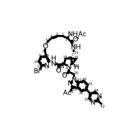 CC(=O)NC1CC=CCOCc2ccc(Br)nc2NC(=O)[C@@H]2C[C@@]3(CNC1=O)C[C@H]3N2C(=O)Cn1nc(C(C)=O)c2cc(-c3cnc(C)nc3)ccc21